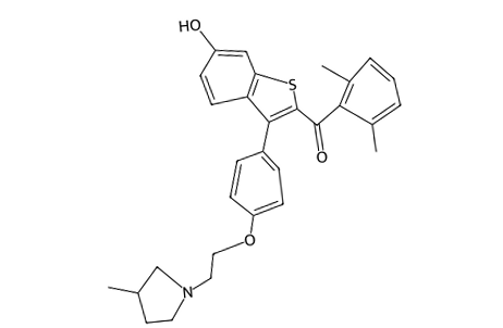 Cc1cccc(C)c1C(=O)c1sc2cc(O)ccc2c1-c1ccc(OCCN2CCC(C)C2)cc1